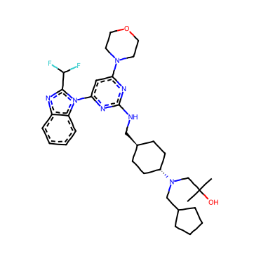 CC(C)(O)CN(CC1CCCC1)[C@H]1CC[C@H](CNc2nc(N3CCOCC3)cc(-n3c(C(F)F)nc4ccccc43)n2)CC1